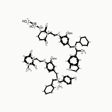 COc1cc(CN(CC2CCCCC2)C(C)c2ccc3c(c2)CCO3)ccc1OCCN1C(=O)CCCC1=O.COc1cc(CN(CC2CCCCC2)[C@@H](C)c2ccc(Cl)cc2)ccc1OCCn1c(=O)ccn(C)c1=O.O=C(O)O.O=C(O)O